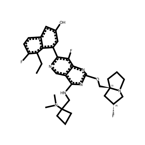 CCc1c(F)ccc2cc(O)cc(-c3ncc4c(NCC5(N(C)C)CCC5)nc(OC[C@@]56CCCN5C[C@H](F)C6)nc4c3F)c12